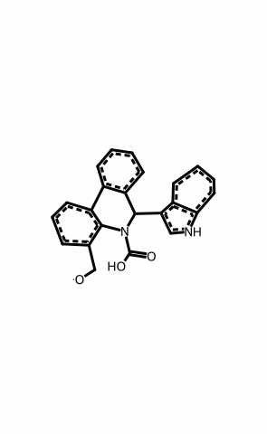 [O]Cc1cccc2c1N(C(=O)O)C(c1c[nH]c3ccccc13)c1ccccc1-2